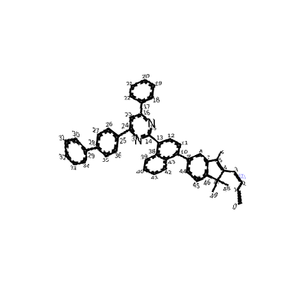 C=C/C=C\C1=C(C)c2cc(-c3ccc(-c4nc(-c5ccccc5)cc(-c5ccc(-c6ccccc6)cc5)n4)c4ccccc34)ccc2C1(C)C